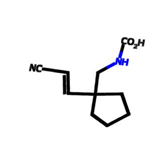 N#C/C=C/C1(CNC(=O)O)CCCC1